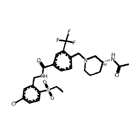 CCS(=O)(=O)c1ccc(Cl)cc1CNC(=O)c1ccc(CN2CCC[C@@H](NC(C)=O)C2)c(C(F)(F)F)c1